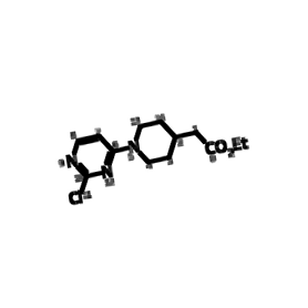 CCOC(=O)CC1CCN(c2ccnc(Cl)n2)CC1